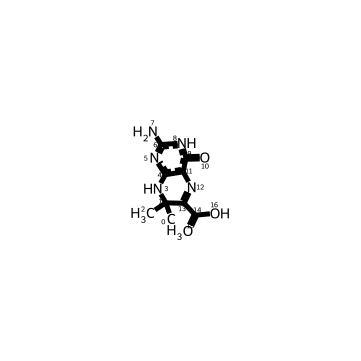 CC1(C)Nc2nc(N)[nH]c(=O)c2N=C1C(=O)O